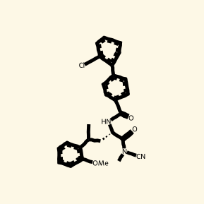 COc1ccccc1C(C)C[C@H](NC(=O)c1ccc(-c2ccccc2Cl)cc1)C(=O)N(C)C#N